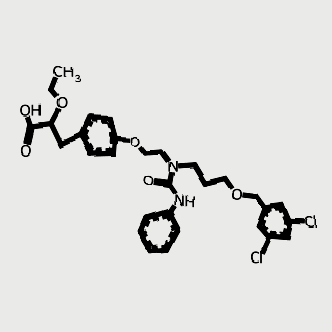 CCOC(Cc1ccc(OCCN(CCCOCc2cc(Cl)cc(Cl)c2)C(=O)Nc2ccccc2)cc1)C(=O)O